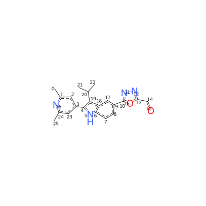 Cc1cc(-c2[nH]c3ccc(-c4nnc(C=O)o4)cc3c2C(C)C)cc(C)n1